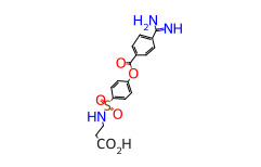 N=C(N)c1ccc(C(=O)Oc2ccc(S(=O)(=O)NCCC(=O)O)cc2)cc1